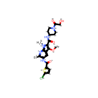 CCc1nc2c(cc1NC(=O)c1ccc(Cl)s1)c(OC(C)C)c(C(=O)NC1CCN(C(=O)CO)CC1)n2C